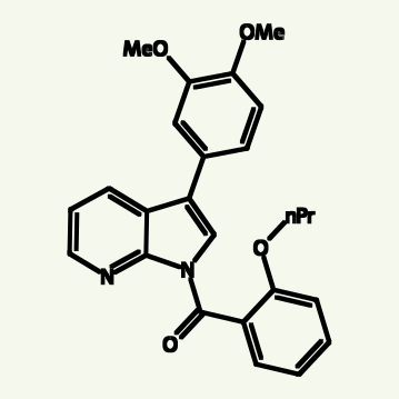 CCCOc1ccccc1C(=O)n1cc(-c2ccc(OC)c(OC)c2)c2cccnc21